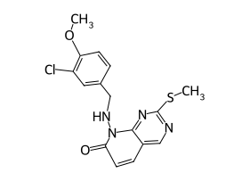 COc1ccc(CNn2c(=O)ccc3cnc(SC)nc32)cc1Cl